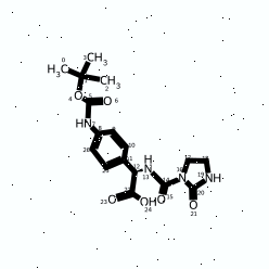 CC(C)(C)OC(=O)Nc1ccc([C@H](NC(=O)N2CCNC2=O)C(=O)O)cc1